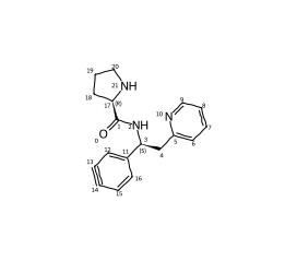 O=C(N[C@@H](Cc1ccccn1)c1cc#ccc1)[C@H]1CCCN1